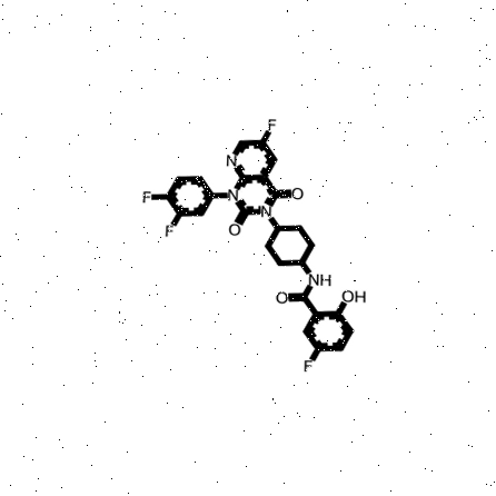 O=C(NC1CCC(n2c(=O)c3cc(F)cnc3n(-c3ccc(F)c(F)c3)c2=O)CC1)c1cc(F)ccc1O